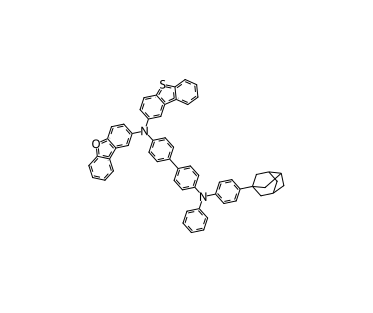 c1ccc(N(c2ccc(-c3ccc(N(c4ccc5oc6ccccc6c5c4)c4ccc5sc6ccccc6c5c4)cc3)cc2)c2ccc(C34CC5CC(C3)C(C5)C4)cc2)cc1